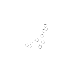 c1cc(-c2ccc(N(c3ccc(-c4ccc5c(ccc6ccccc65)c4)cc3)c3cccc4c3oc3ccccc34)cc2)cc(-c2cccc3ccccc23)c1